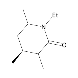 CCN1C(=O)C(C)[C@@H](C)CC1C